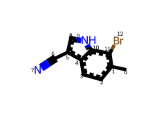 Cc1ccc2c(C#N)c[nH]c2c1Br